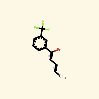 C/C=C/C=C(\Br)c1cccc(C(F)(F)F)c1